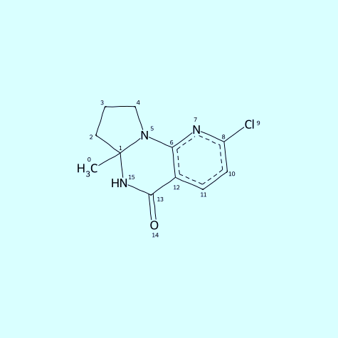 CC12CCCN1c1nc(Cl)ccc1C(=O)N2